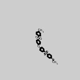 COc1ccc(S(=O)(=S)c2ccc(Oc3ccc(S(=O)(=O)c4ccc(C)cc4)cc3)cc2)cc1